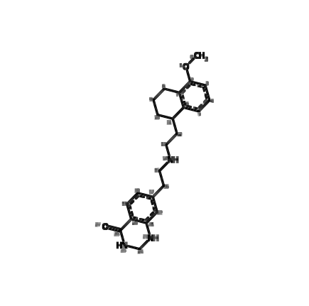 COc1cccc2c1CCCC2CCNCCc1ccc2c(c1)NCNC2=O